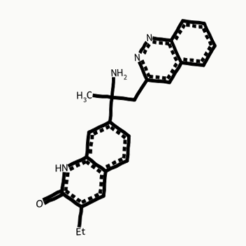 CCc1cc2ccc(C(C)(N)Cc3cc4ccccc4nn3)cc2[nH]c1=O